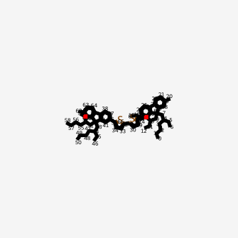 CCCCC(CC)CC1(CC(CC)CCCC)c2cc(C)ccc2-c2ccc(-c3ccc(-c4ccc(-c5ccc6c(c5)C(CC(CC)CCCC)(CC(CC)CCCC)c5cc(C)ccc5-6)s4)s3)cc21